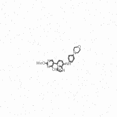 COc1ncc(-c2ccc(Nc3ccc(N4CCOCC4)cc3)c3nccn23)c(OC)n1